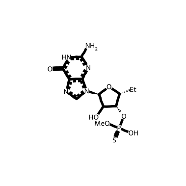 CC[C@H]1O[C@H](n2cnc3c(=O)[nH]c(N)nc32)C(O)[C@H]1OP(O)(=S)OC